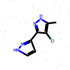 Cc1[nH]nc(-c2cc[nH]n2)c1Cl